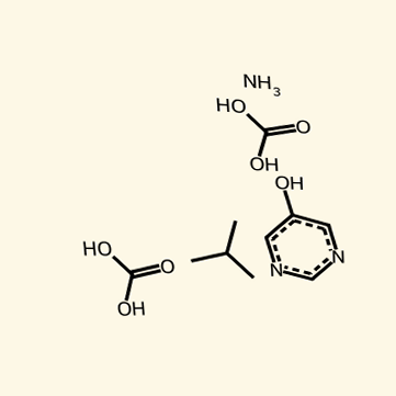 CC(C)C.N.O=C(O)O.O=C(O)O.Oc1cncnc1